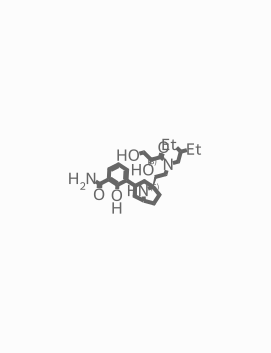 CCC(CC)CN(CC[C@]12CCC(CC(c3cccc(C(N)=O)c3O)C1)N2)C(=O)[C@@H](O)CO